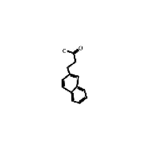 O=C(Cl)CCc1ccc2ccccc2c1